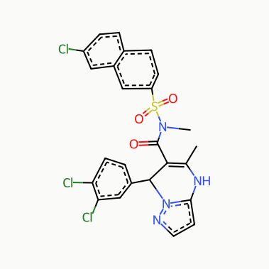 CC1=C(C(=O)N(C)S(=O)(=O)c2ccc3ccc(Cl)cc3c2)C(c2ccc(Cl)c(Cl)c2)n2nccc2N1